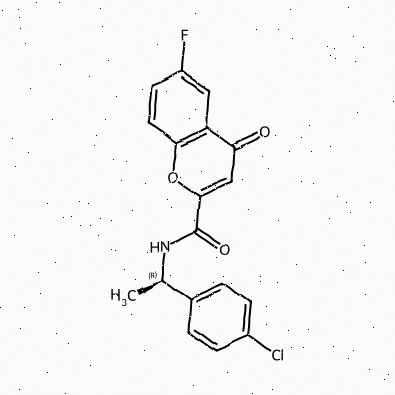 C[C@@H](NC(=O)c1cc(=O)c2cc(F)ccc2o1)c1ccc(Cl)cc1